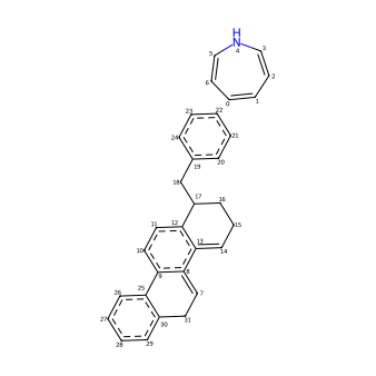 C1=CC=CNC=C1.C1=c2c(ccc3c2=CCCC3Cc2ccccc2)-c2ccccc2C1